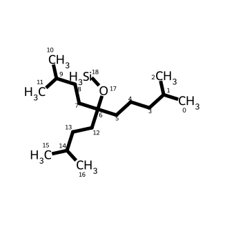 CC(C)CCCC(CCC(C)C)(CCC(C)C)O[SiH3]